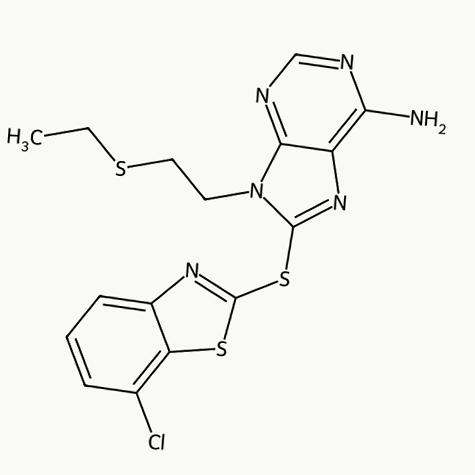 CCSCCn1c(Sc2nc3cccc(Cl)c3s2)nc2c(N)ncnc21